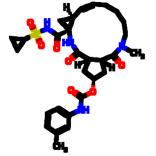 Cc1cccc(NC(=O)O[C@@H]2C[C@H]3C(=O)N[C@]4(C(=O)NS(=O)(=O)C5CC5)C[C@H]4/C=C\CCCCN(C)C(=O)[C@@H]3C2)c1